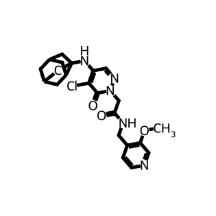 COc1cnccc1CNC(=O)Cn1ncc(NC23CC4CC(CC2C4)C3)c(Cl)c1=O